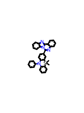 C[Si]1(C)c2ccccc2N(c2ccccc2)c2ccc(-c3nc4ccccc4c4nc5ccccc5n34)cc21